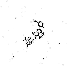 C=C(C)/C(C(=C)CCCN(CC(C)C)C(=O)OC(C)C)=C1/C(C2CC2)=CC(C2=CC(C#N)=CC=C=C2C)=C/C1=N/C